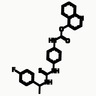 CC(NC(=S)Nc1ccc(NC(=O)Oc2ccnc3ccccc23)cc1)c1ccc(F)cc1